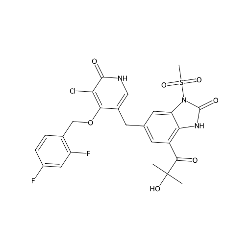 CC(C)(O)C(=O)c1cc(Cc2c[nH]c(=O)c(Cl)c2OCc2ccc(F)cc2F)cc2c1[nH]c(=O)n2S(C)(=O)=O